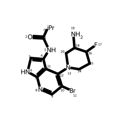 CC(C)C(=O)Nc1c[nH]c2ncc(Br)c(N3CCC(F)C(N)C3)c12